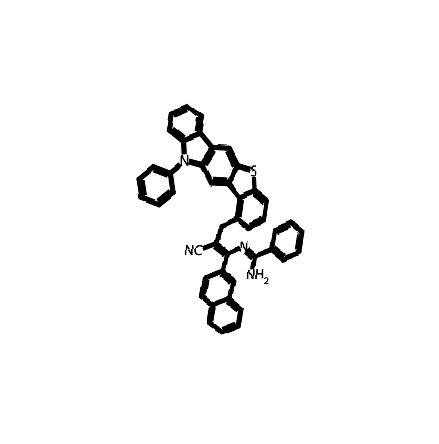 N#C/C(Cc1cccc2sc3cc4c5ccccc5n(-c5ccccc5)c4cc3c12)=C(/N=C(\N)c1ccccc1)c1ccc2ccccc2c1